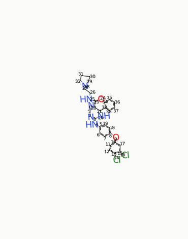 N#C/N=C(/Nc1ccc(Oc2ccc(Cl)c(Cl)c2)cc1)NC(CC(=O)NCCN1CCCC1)c1ccccc1